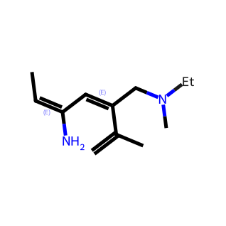 C=C(C)/C(=C\C(N)=C/C)CN(C)CC